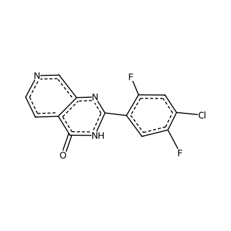 O=c1[nH]c(-c2cc(F)c(Cl)cc2F)nc2cnccc12